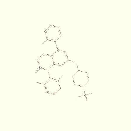 CC(C)(C)N1CCC(Oc2cc(-c3ccccc3Cl)c3ccc(=O)n(-c4c(Cl)cccc4Cl)c3c2)CC1